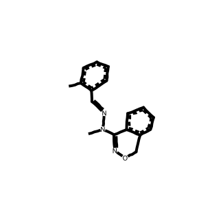 Cc1ccccc1C=NN(C)C1=NOCc2ccccc21